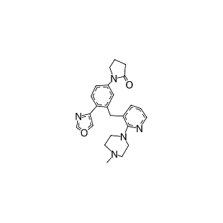 CN1CCN(c2ncccc2Cc2cc(N3CCCC3=O)ccc2-c2cocn2)CC1